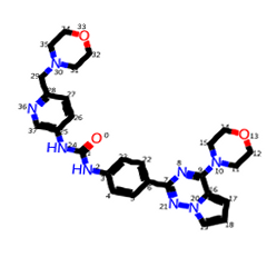 O=C(Nc1ccc(-c2nc(N3CCOCC3)c3cccn3n2)cc1)Nc1ccc(CN2CCOCC2)nc1